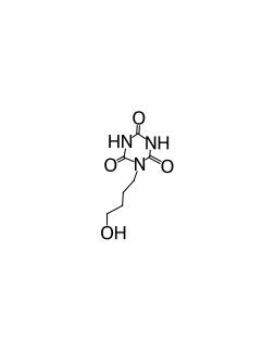 O=c1[nH]c(=O)n(CCCCO)c(=O)[nH]1